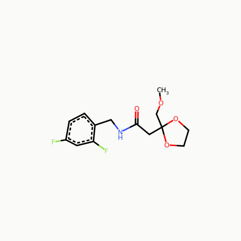 COCC1(CC(=O)NCc2ccc(F)cc2F)OCCO1